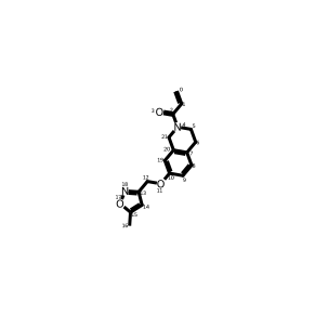 C=CC(=O)N1CCc2ccc(OCc3cc(C)on3)cc2C1